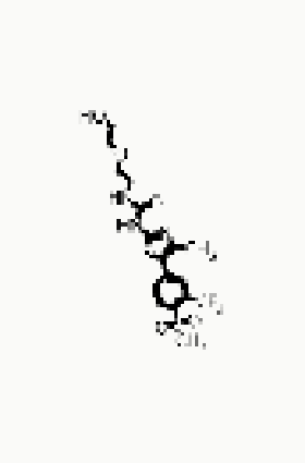 Cc1nc(NC(=O)NCCOCCO)sc1-c1ccc(S(C)(=O)=O)c(C(F)(F)F)c1